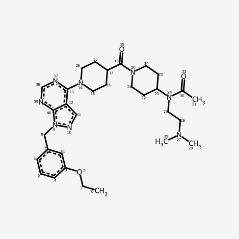 CCOc1cccc(Cn2ncc3c(N4CCC(C(=O)N5CCC(N(CCN(C)C)C(C)=O)CC5)CC4)ncnc32)c1